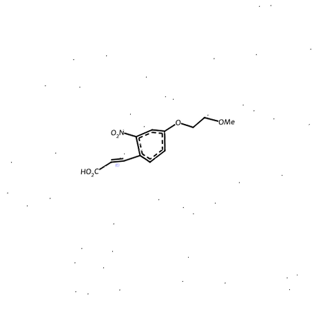 COCCOc1ccc(/C=C/C(=O)O)c([N+](=O)[O-])c1